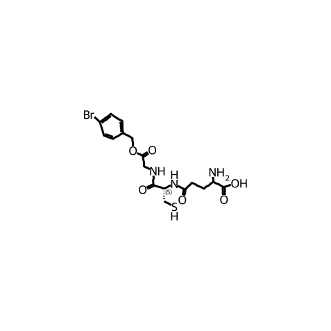 NC(CCC(=O)N[C@H](CS)C(=O)NCC(=O)OCc1ccc(Br)cc1)C(=O)O